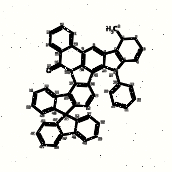 CC1CC=Cc2c1c1cc3c4ccccc4c(=O)n4c5c6c(ccc5c(c1n2-c1ccccc1)c34)C1(c2ccccc2-c2ccccc21)c1ccccc1-6